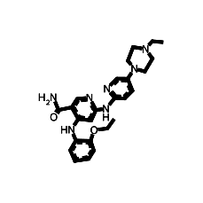 CCOc1ccccc1Nc1cc(Nc2ccc(N3CCN(CC)CC3)cn2)ncc1C(N)=O